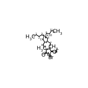 CCCC[N+](CCCC)(CCCC)CCCC.O=C1CCC(=O)N1Br.[I-]